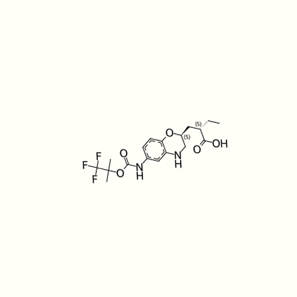 CC[C@@H](C[C@H]1CNc2cc(NC(=O)OC(C)(C)C(F)(F)F)ccc2O1)C(=O)O